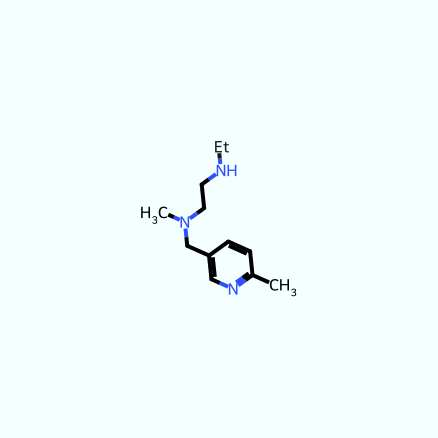 CCNCCN(C)Cc1ccc(C)nc1